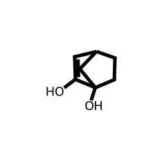 OC1=CC2CCC1(O)C2